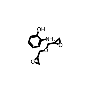 C(OCC1CO1)C1CO1.Nc1ccccc1O